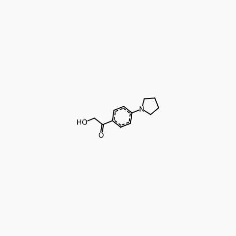 O=C(CO)c1ccc(N2CCCC2)cc1